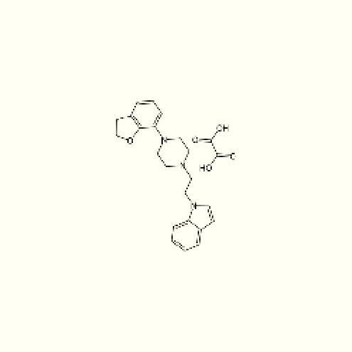 O=C(O)C(=O)O.c1cc2c(c(N3CCN(CCn4ccc5ccccc54)CC3)c1)OCC2